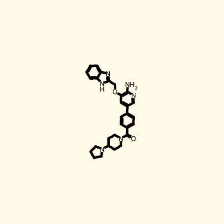 Nc1ncc(-c2ccc(C(=O)N3CCC(N4CCCC4)CC3)cc2)cc1OCc1nc2ccccc2[nH]1